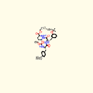 COc1ccc(C[C@H](NC(=O)OC(C)(C)C)C(=O)N[C@@H](Cc2cccc(O[Si](C)(C)C(C)(C)C)c2)C(=O)N2CCCC(C(=O)OCC(Cl)(Cl)Cl)N2)cc1